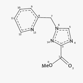 COC(=O)c1ncn(Cc2ccccn2)n1